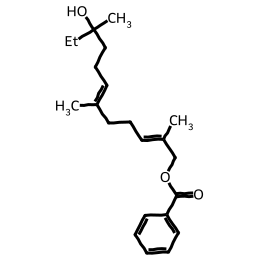 CCC(C)(O)CCC=C(C)CCC=C(C)COC(=O)c1ccccc1